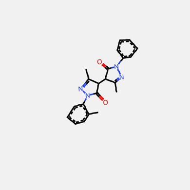 CC1=NN(c2ccccc2)C(=O)C1C1C(=O)N(c2ccccc2C)N=C1C